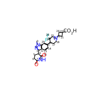 Cn1nc(C2CCC(=O)NC2=O)c2ccc(C3CCN(C4CC(C(=O)O)C4)CC3(F)F)cc21